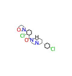 O=C(c1cccc(N2CCCOC2)c1Cl)N1CCN2C[C@@H](c3ccc(Cl)cc3)CC[C@@H]2C1